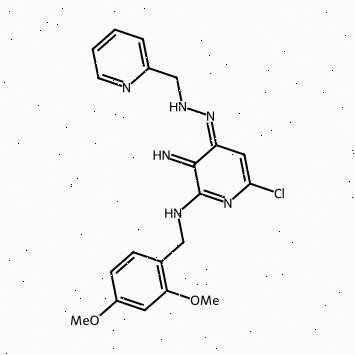 COc1ccc(CNC2=NC(Cl)=C/C(=N/NCc3ccccn3)C2=N)c(OC)c1